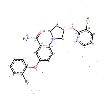 CCc1ccccc1Oc1ccc(N2CC[C@H](Oc3ncccc3Cl)C2)c(C(N)=O)c1